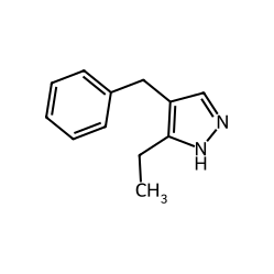 CCc1[nH]ncc1Cc1ccccc1